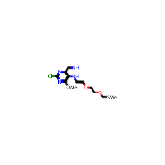 COc1nc(Cl)nc(C=N)c1NCCOCCOCSC